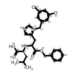 CC(C)C[C@H](NC(Cc1cncn1Cc1cc(Cl)cc(Cl)c1)C(=O)OCc1ccccc1)C(=O)O